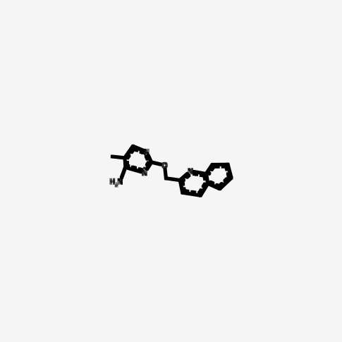 Cc1cnc(OCc2ccc3ccccc3n2)nc1N